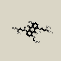 CC(=O)OCOc1ccc(NCCN(C)C)c2c1C(=O)c1c(NCCN(C)C)ccc(O)c1C2=O